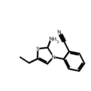 CCC1=CN(c2ccccc2C#N)C(N)S1